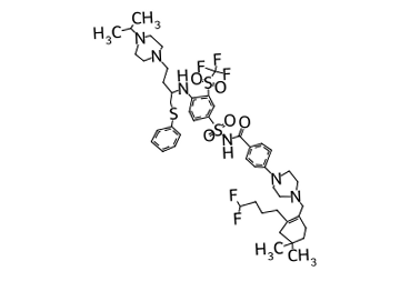 CC(C)N1CCN(CCC(CSc2ccccc2)Nc2ccc(S(=O)(=O)NC(=O)c3ccc(N4CCN(CC5=C(CCCC(F)F)CC(C)(C)CC5)CC4)cc3)cc2S(=O)(=O)C(F)(F)F)CC1